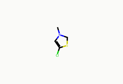 CN1C=C(Cl)SC1